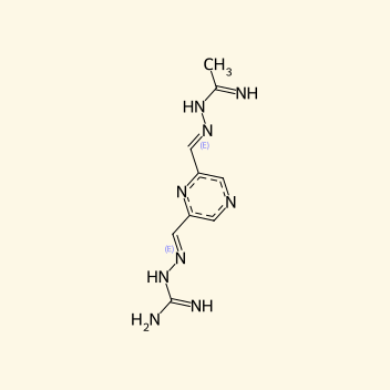 CC(=N)N/N=C/c1cncc(/C=N/NC(=N)N)n1